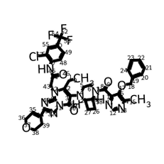 CCc1c(N2CCN(C(=O)c3ncnc(C)c3OCc3ccccc3)[C@@H]3CC[C@H]32)c(=O)n2nc(C3=CCOCC3)nc2n1CC(=O)Nc1ccc(C(F)(F)F)cc1Cl